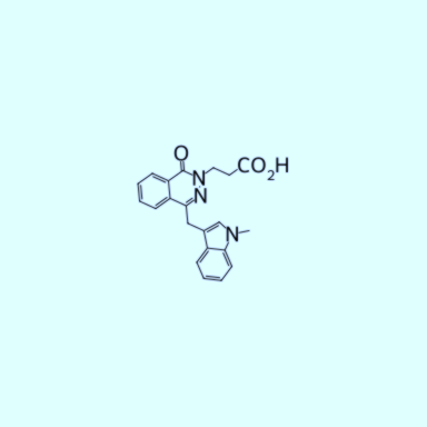 Cn1cc(Cc2nn(CCC(=O)O)c(=O)c3ccccc23)c2ccccc21